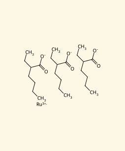 CCCCC(CC)C(=O)[O-].CCCCC(CC)C(=O)[O-].CCCCC(CC)C(=O)[O-].[Ru+3]